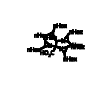 CCCCCCC1C(CCCCCC)N1C(N1C(CCCCCC)C1CCCCCC)C(C(=O)O)(N1C(CCCCCC)C1CCCCCC)N1C(CCCCCC)C1CCCCCC